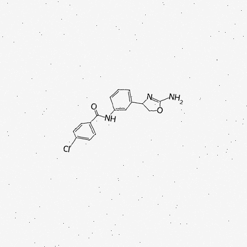 NC1=NC(c2cccc(NC(=O)c3ccc(Cl)cc3)c2)CO1